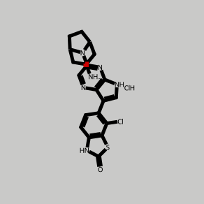 Cl.NC1CC2CCC(C1)N2c1cnc2c(-c3ccc4[nH]c(=O)sc4c3Cl)c[nH]c2n1